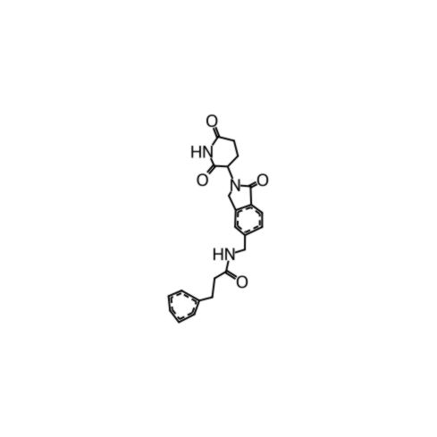 O=C(CCc1ccccc1)NCc1ccc2c(c1)CN(C1CCC(=O)NC1=O)C2=O